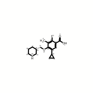 Cc1c(F)c(C(=O)O)cc(C2CC2)c1OC[C@H]1CCCNC1